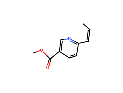 C/C=C\c1ccc(C(=O)OC)cn1